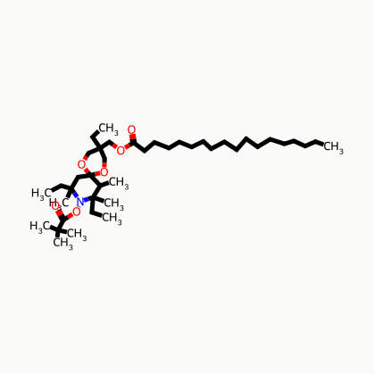 CCCCCCCCCCCCCCCCCC(=O)OCC1(CC)COC2(CC(C)(CC)N(OC(=O)C(C)(C)C)C(C)(CC)C2C)OC1